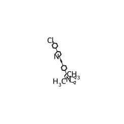 C/C(=C\[C@@H](C)N(CC1CC1)CC1CC1)c1ccc(C#Cc2ccc(-c3ccc(Cl)cc3)cn2)cc1